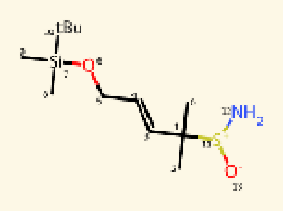 CC(C)(C=CCO[Si](C)(C)C(C)(C)C)[S+](N)[O-]